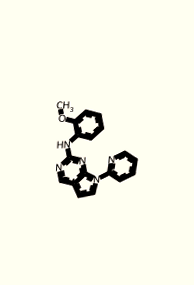 COc1ccccc1Nc1ncc2ccn(-c3ccccn3)c2n1